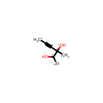 CC#CC(C)(O)C(O)CC